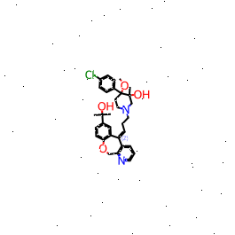 COC1(c2ccc(Cl)cc2)CCN(CC/C=C2\c3cc(C(C)(C)O)ccc3OCc3ncccc32)CC1(C)O